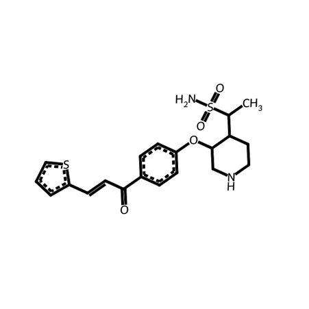 CC(C1CCNCC1Oc1ccc(C(=O)C=Cc2cccs2)cc1)S(N)(=O)=O